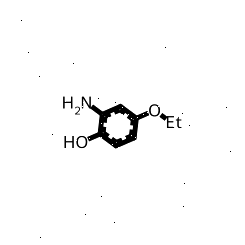 CCOc1ccc(O)c(N)c1